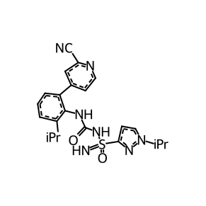 CC(C)c1cccc(-c2ccnc(C#N)c2)c1NC(=O)NS(=N)(=O)c1ccn(C(C)C)n1